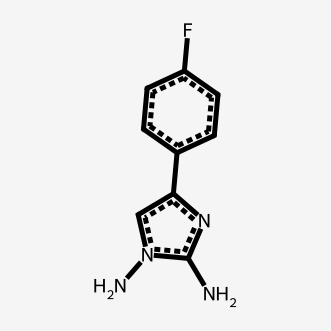 Nc1nc(-c2ccc(F)cc2)cn1N